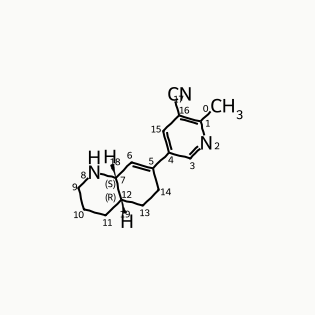 Cc1ncc(C2=C[C@H]3NCCC[C@H]3CC2)cc1C#N